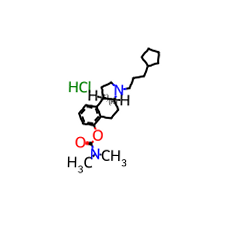 CN(C)C(=O)Oc1cccc2c1CC[C@@H]1[C@H]2CCN1CCCC1CCCC1.Cl